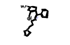 Cc1ccc(/C(=N\CCCn2ccnc2)c2ccccc2)c(O)c1